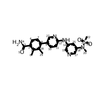 Cc1c(C(N)=O)ccc(-c2ccc(Nc3cncc(N(C)S(C)(=O)=O)c3)nc2)c1C